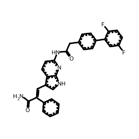 NC(=O)/C(=C/c1c[nH]c2nc(NC(=O)Cc3ccc(-c4cc(F)ccc4F)cc3)ccc12)c1ccccc1